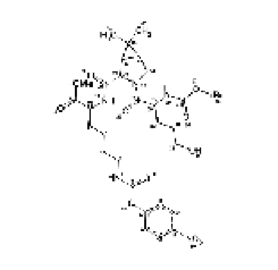 COC(=O)[C@H](CCCCNC(=O)Oc1ccc([N+](=O)[O-])cc1)NC(=O)[C@@H]1C2C(CN1C(=O)[C@H](CCCO)NC(=O)OC(C)(C)C)C2(C)C